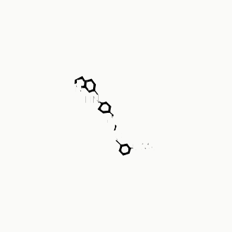 COc1cccc(COCCOCc2ccc(NCc3ccc4cccnc4c3)cc2)c1